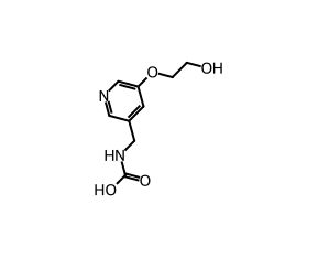 O=C(O)NCc1cncc(OCCO)c1